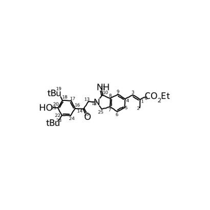 CCOC(=O)/C(C)=C/c1ccc2c(c1)C(=N)N(CC(=O)c1cc(C(C)(C)C)c(O)c(C(C)(C)C)c1)C2